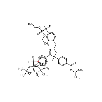 CCOP(=O)(OCC)C(F)(F)c1ccc(CCCC(Cc2ccc(C(F)(F)P(=O)(OC(C)(C)C)OC(C)(C)C)cc2)(C(=O)c2ccc(F)cc2)c2ccc(C(=O)OC(C)C)cc2)cc1